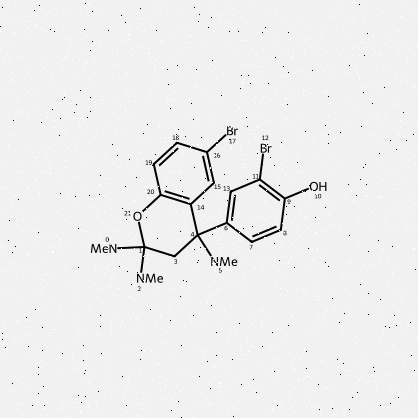 CNC1(NC)CC(NC)(c2ccc(O)c(Br)c2)c2cc(Br)ccc2O1